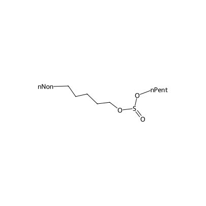 CCCCCCCCCCCCCCOS(=O)OCCCCC